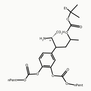 CCCCCOC(=O)Oc1ccc(C(CC(C)OC(=O)OC(C)(C)CC)[C@H](N)C(=O)O)cc1OC(=O)OCCCCC